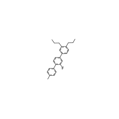 CCCc1ccc(-c2ccc(-c3ccc(C)cc3)c(F)c2)cc1CCC